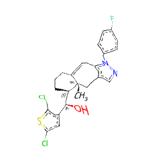 C[C@]12Cc3cnn(-c4ccc(F)cc4)c3C=C1CCC[C@@H]2[C@@H](O)c1cc(Cl)sc1Cl